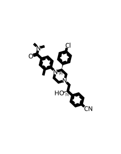 Cc1cc(C(=O)N(C)C)ccc1N1CCN(C[C@@H](O)c2ccc(C#N)cc2)C[C@H]1c1ccc(Cl)cc1